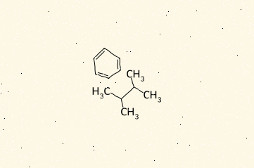 CC(C)C(C)C.c1ccccc1